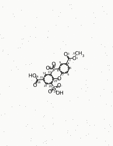 COC(=O)c1ccc2c(c1)S(=O)(=O)c1cc(C(=O)O)cc(S(=O)(=O)O)c1O2